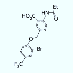 CCC(=O)Nc1ccc(COc2ccc(C(F)(F)F)cc2Br)cc1C(=O)O